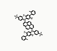 Cc1ccccc1-c1cc(F)c(N(c2ccc([Si](C)(C)C)cc2)c2ccc3ccc4c(N(c5ccc([Si](C)(C)C)cc5)c5cc(F)c(-c6ccccc6C)cc5F)ccc5ccc2c3c54)cc1F